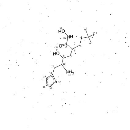 CC(C)(F)CCC(CC(O)C(N)Cc1cccs1)C(=O)NO